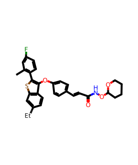 CCc1ccc2c(Oc3ccc(/C=C/C(=O)NOC4CCCCO4)cc3)c(-c3ccc(F)cc3C)sc2c1